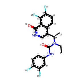 CCN(C(=O)Nc1ccc(F)c(F)c1)[C@H](C)c1c[nH]c(=O)c2c(F)c(F)ccc12